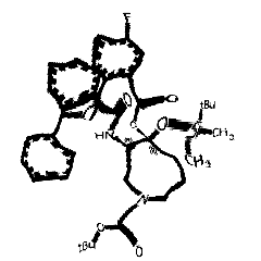 CC(C)(C)OC(=O)N1CCC[C@@](OC(=O)c2cc(F)ccc2OCc2ccccc2)(O[Si](C)(C)C(C)(C)C)[C@H](NC(=O)c2ccccc2)C1